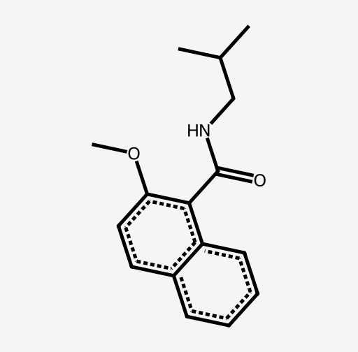 COc1ccc2ccccc2c1C(=O)NCC(C)C